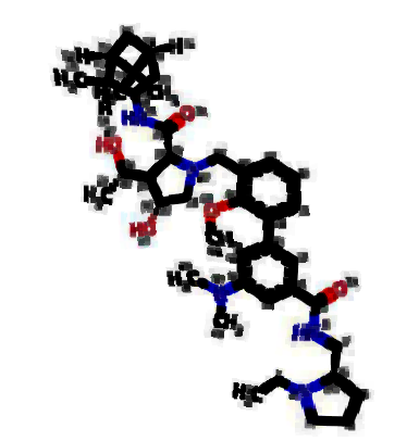 CCN1CCC[C@@H]1CNC(=O)c1cc(-c2cccc(CN3C[C@H](O)C([C@H](C)O)[C@H]3C(=O)NC3C[C@H]4C[C@@H]([C@@H]3C)C4(C)C)c2OC)cc(N(C)C)c1